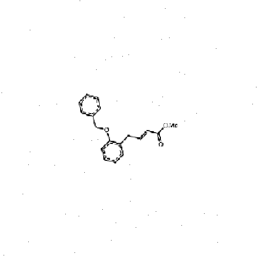 COC(=O)C=CCc1ccccc1OCc1ccccc1